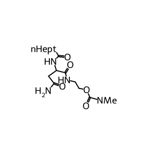 CCCCCCCC(=O)NC(CC(N)=O)C(=O)NCCOC(=O)NC